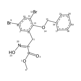 COC(=O)C(Cc1cc(Br)cc(Br)c1OCc1ccccc1)=NO